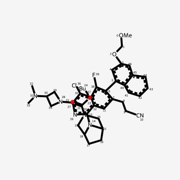 COCOc1cc(-c2c(CCC#N)cc3c(N4C5CCC4CN(C(=O)OC(C)(C)C)C5)nc(N4CC(N(C)C)C4)c(Cl)c3c2F)c2ccccc2c1